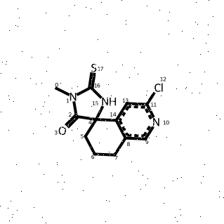 CN1C(=O)C2(CCCc3cnc(Cl)cc32)NC1=S